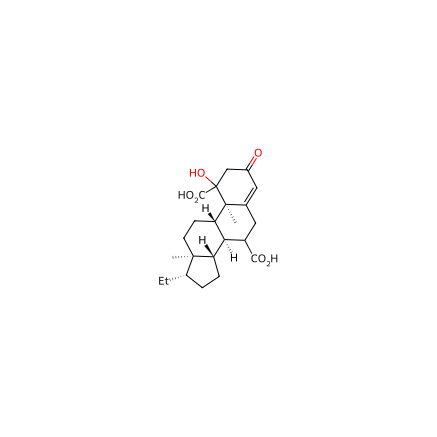 CC[C@H]1CC[C@H]2[C@@H]3C(C(=O)O)CC4=CC(=O)CC(O)(C(=O)O)[C@]4(C)[C@H]3CC[C@]12C